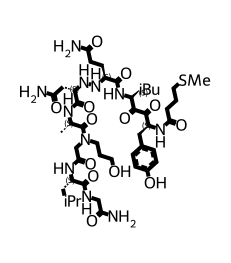 CC[C@H](C)C(NC(=O)[C@H](CCC(N)=O)NN[C@@H](CC(N)=O)C(=O)N[C@@H](C)C(=O)N(CCCO)CC(=O)N[C@@H](CC(C)C)C(=O)NCC(N)=O)C(=O)C(=O)[C@H](Cc1ccc(O)cc1)NC(=O)CCCSC